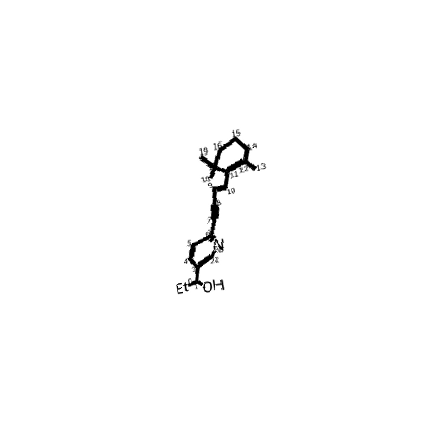 CCC(O)c1ccc(C#CC=CC2=C(C)CCCC2(C)C)nc1